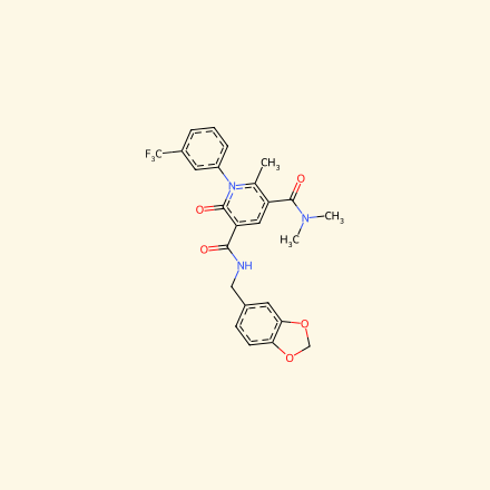 Cc1c(C(=O)N(C)C)cc(C(=O)NCc2ccc3c(c2)OCO3)c(=O)n1-c1cccc(C(F)(F)F)c1